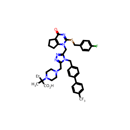 CCC(C)(C(=O)O)N1CCN(Cc2nnc(Cn3c(SCc4ccc(F)cc4)nc(=O)c4c3CCC4)n2Cc2ccc(-c3ccc(C(F)(F)F)cc3)cc2)CC1